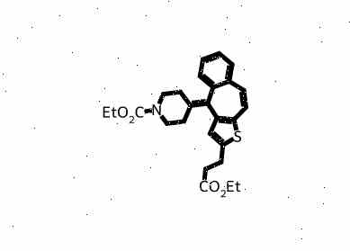 CCOC(=O)CCc1cc2c(s1)C=Cc1ccccc1C2=C1CCN(C(=O)OCC)CC1